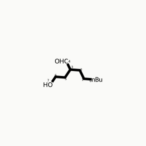 CCCCCCC(C=O)CCO